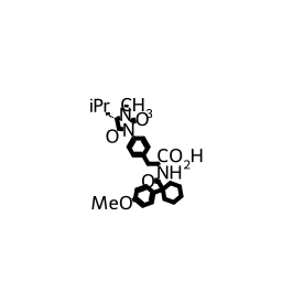 COc1ccc(C2(C(=O)N[C@@H](Cc3ccc(N4C(=O)[C@H](CC(C)C)N(C)C4=O)cc3)C(=O)O)CCCCC2)cc1